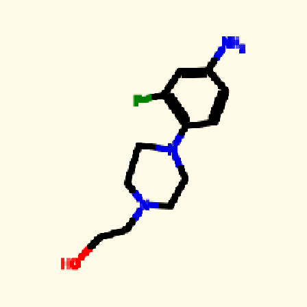 Nc1ccc(N2CCN(CCO)CC2)c(F)c1